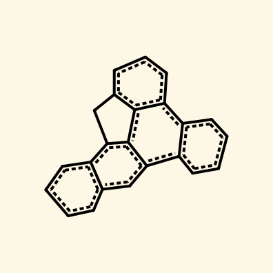 c1ccc2c3c4c(cc2c1)c1ccccc1c1cccc(c14)C3